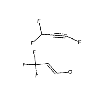 FC#CC(F)F.FC(F)(F)C=CCl